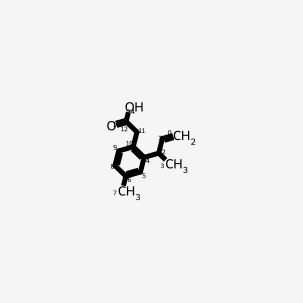 C=CC(C)c1cc(C)ccc1CC(=O)O